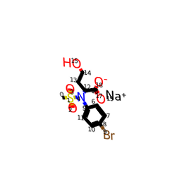 CS(=O)(=O)N(c1ccc(Br)cc1)C(CCO)C(=O)[O-].[Na+]